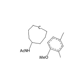 CC(=O)NC1CCCCCCC1.COc1ccc(C)cc1C